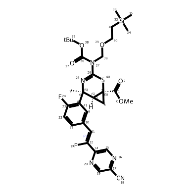 COC(=O)[C@]12C[C@H]1[C@@](C)(c1cc(/C=C(\F)c3cnc(C#N)cn3)ccc1F)N=C(N(COCC[Si](C)(C)C)C(=O)OC(C)(C)C)S2